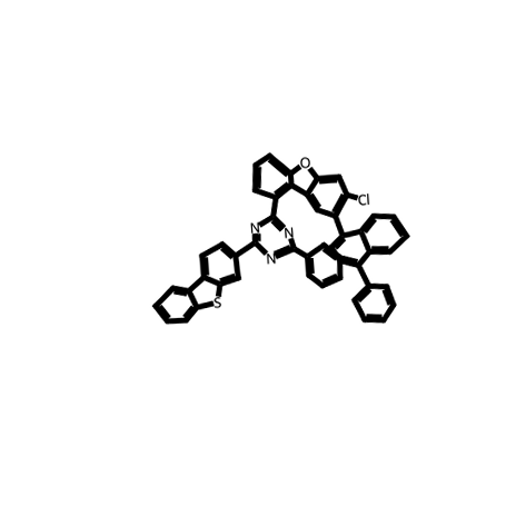 Clc1cc2oc3cccc(-c4nc(-c5ccccc5)nc(-c5ccc6c(c5)sc5ccccc56)n4)c3c2cc1-c1ccc(-c2ccccc2)c2ccccc12